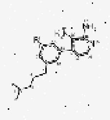 CN(C)CCCc1cc(F)cc(-c2ccnc(N)c2N)c1